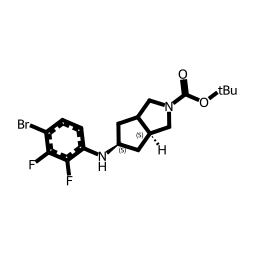 CC(C)(C)OC(=O)N1CC2C[C@H](Nc3ccc(Br)c(F)c3F)C[C@@H]2C1